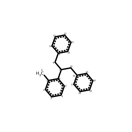 Cc1ccccc1C(Cc1ccccc1)Cc1ccccc1